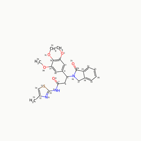 COc1cc(C(CC(=O)Nc2nc(C)cs2)N2Cc3ccccc3C2=O)cc(OC)c1OC